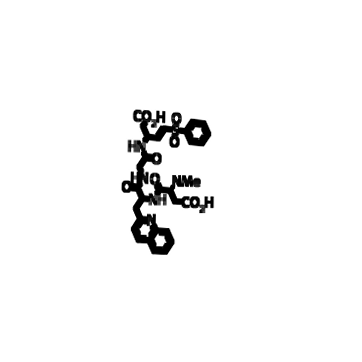 CN[C@@H](CC(=O)O)C(=O)NC(Cc1ccc2ccccc2n1)C(=O)NCC(=O)NC(/C=C/S(=O)(=O)c1ccccc1)CC(=O)O